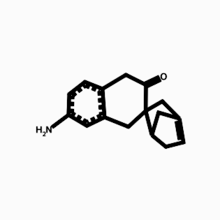 Nc1ccc2c(c1)CC1(CC3=CCC1C3)C(=O)C2